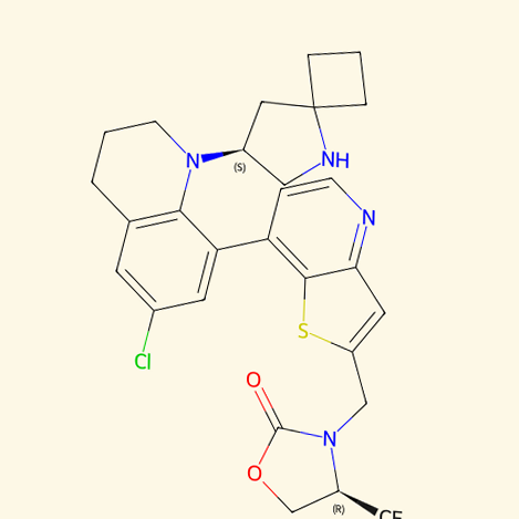 O=C1OC[C@H](C(F)(F)F)N1Cc1cc2nccc(-c3cc(Cl)cc4c3N([C@@H]3CNC5(CCC5)C3)CCC4)c2s1